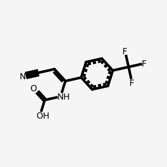 N#CC=C(NC(=O)O)c1ccc(C(F)(F)F)cc1